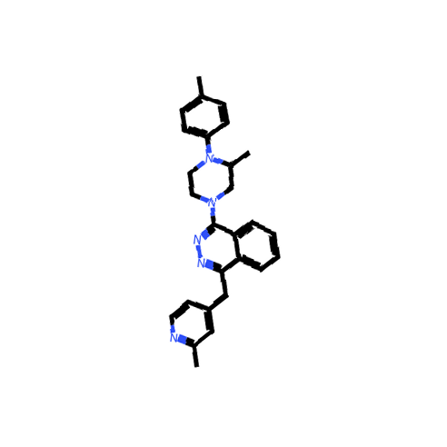 Cc1ccc(N2CCN(c3nnc(Cc4ccnc(C)c4)c4ccccc34)CC2C)cc1